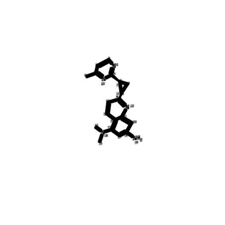 Cc1ccnc([C@H]2C[C@@H]2c2ccc3c(N(C)C)cc(N)cc3n2)n1